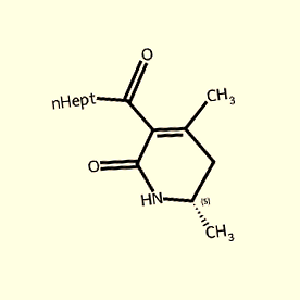 CCCCCCCC(=O)C1=C(C)C[C@H](C)NC1=O